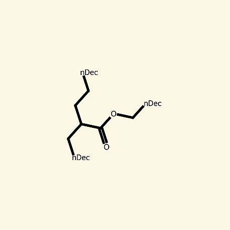 CCCCCCCCCCCCC(CCCCCCCCCCC)C(=O)OCCCCCCCCCCC